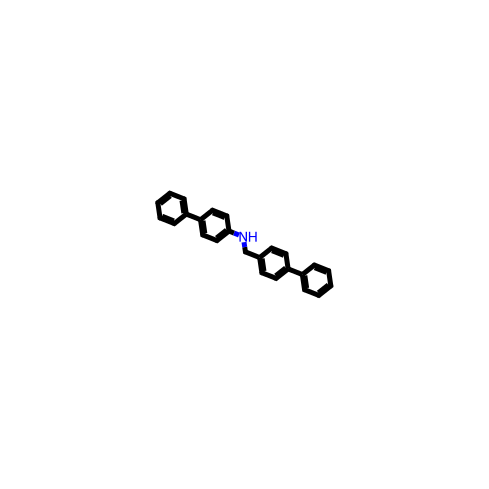 c1ccc(-c2ccc(CNc3ccc(-c4ccccc4)cc3)cc2)cc1